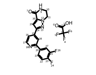 O=C(O)C(F)(F)F.O=C1NCCn2nc(-c3ccnc(-c4ccc(F)c(F)c4)c3)cc21